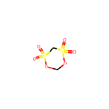 O=S1(=O)CS(=O)(=O)OCO1